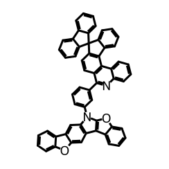 c1cc(-c2nc3ccccc3c3c4c(ccc23)C2(c3ccccc3-c3ccccc32)c2ccccc2-4)cc(-n2c3cc4c(cc3c3c5ccccc5oc32)oc2ccccc24)c1